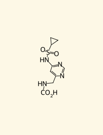 O=C(O)NCc1cc(NS(=O)(=O)C2CC2)ncn1